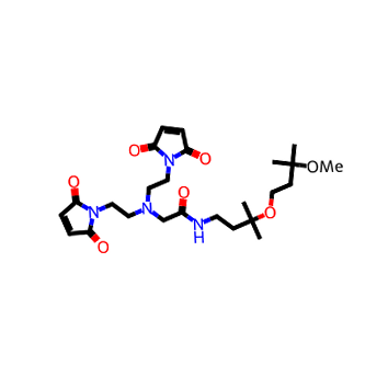 COC(C)(C)CCOC(C)(C)CCNC(=O)CN(CCN1C(=O)C=CC1=O)CCN1C(=O)C=CC1=O